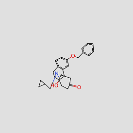 O=C1CC[C@]2(O)C3Cc4ccc(OCc5ccccc5)cc4[C@]2(CCN3CC2CC2)C1